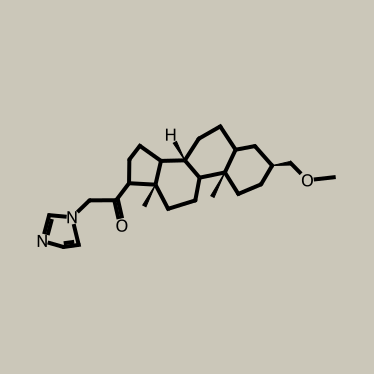 COC[C@H]1CC[C@@]2(C)C(CC[C@@H]3C2CC[C@]2(C)C(C(=O)Cn4ccnc4)CCC32)C1